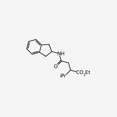 CCOC(=O)C(CC(=O)NC1Cc2ccccc2C1)C(C)C